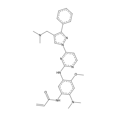 C=CC(=O)Nc1cc(Nc2nccc(-n3cc(CN(C)C)c(-c4ccccc4)n3)n2)c(OC)cc1N(C)C